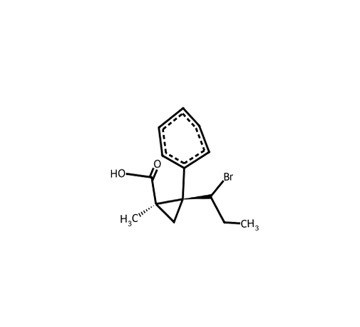 CCC(Br)[C@@]1(c2ccccc2)C[C@@]1(C)C(=O)O